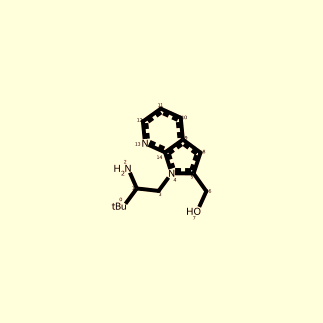 CC(C)(C)C(N)Cn1c(CO)cc2cccnc21